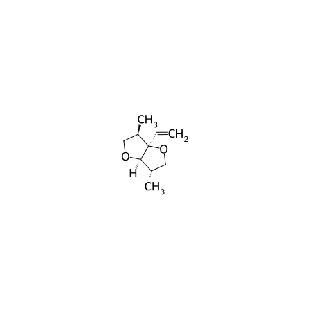 C=C[C@]12OC[C@H](C)[C@H]1OC[C@H]2C